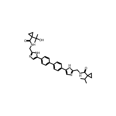 CC(C)C1(C(=O)NCc2ncc(-c3ccc(-c4ccc(-c5cnc(CNC(=O)C6(C(C)(C)O)CC6)[nH]5)cc4)cc3)[nH]2)CC1